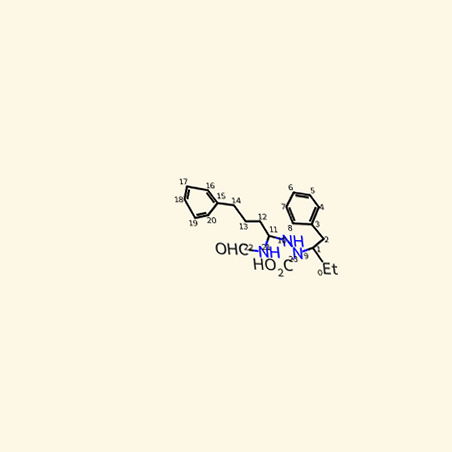 CCC(Cc1ccccc1)N(NC(CCCc1ccccc1)NC=O)C(=O)O